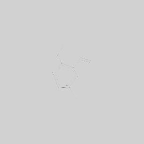 C=Cc1cc(Br)ccc1CC